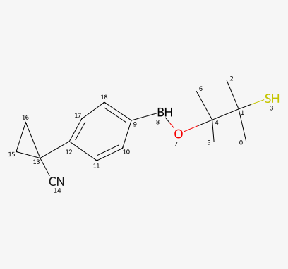 CC(C)(S)C(C)(C)OBc1ccc(C2(C#N)CC2)cc1